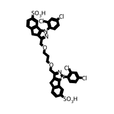 O=S(=O)(O)c1ccc2c(c1)-c1c(c(COCCCOCc3nn(-c4ccc(Cl)cc4Cl)c4c3Cc3ccc(S(=O)(=O)O)cc3-4)nn1-c1ccc(Cl)cc1Cl)C2